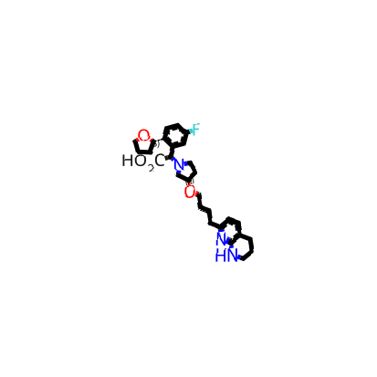 O=C(O)C(c1cc(F)ccc1[C@@H]1CCCO1)N1CC[C@@H](OCCCCc2ccc3c(n2)NCCC3)C1